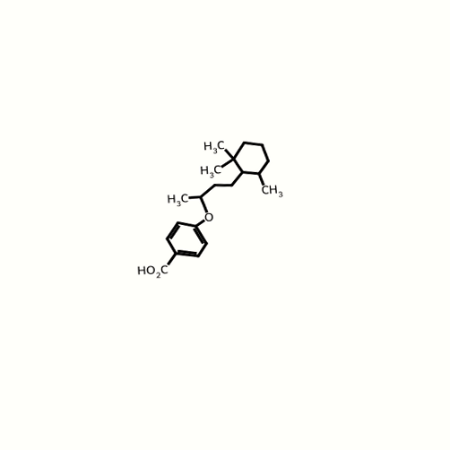 CC(CCC1C(C)CCCC1(C)C)Oc1ccc(C(=O)O)cc1